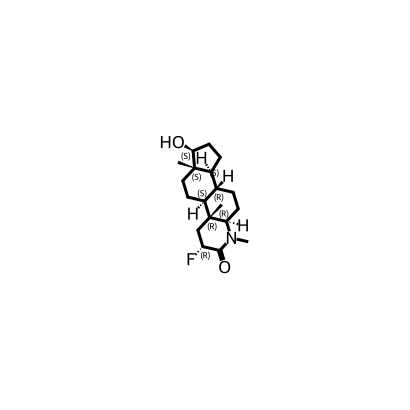 CN1C(=O)[C@H](F)C[C@]2(C)[C@H]3CC[C@]4(C)[C@@H](O)CC[C@H]4[C@@H]3CC[C@@H]12